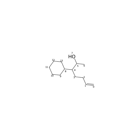 C=CCCC(C(C)O)C1CCCCC1